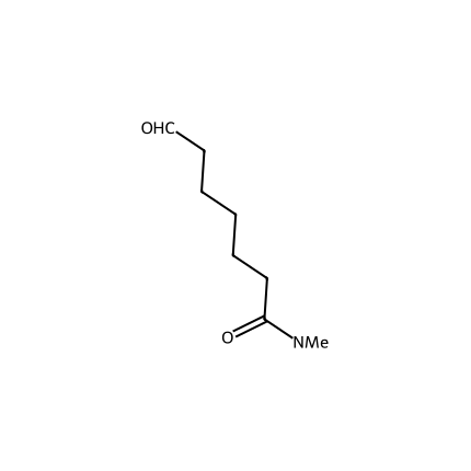 CNC(=O)CCCCCC=O